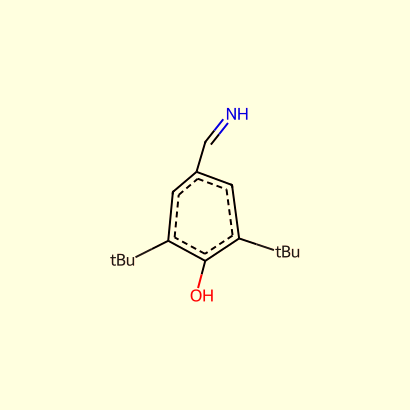 CC(C)(C)c1cc(C=N)cc(C(C)(C)C)c1O